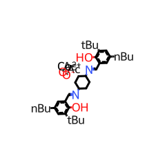 CC(=O)[O-].CC(=O)[O-].CCCCc1cc(C=NC2CCC(N=Cc3cc(CCCC)cc(C(C)(C)C)c3O)CC2)c(O)c(C(C)(C)C)c1.[Co+2]